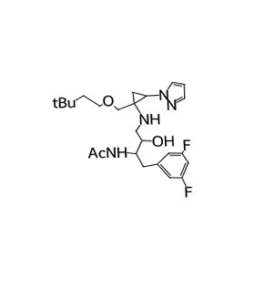 CC(=O)NC(Cc1cc(F)cc(F)c1)C(O)CNC1(COCCC(C)(C)C)CC1n1cccn1